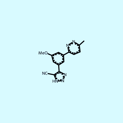 COc1cc(-c2ccc(C)nn2)cc(-c2nn[nH]c2C#N)c1